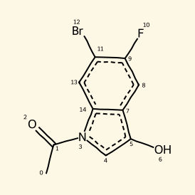 CC(=O)n1cc(O)c2cc(F)c(Br)cc21